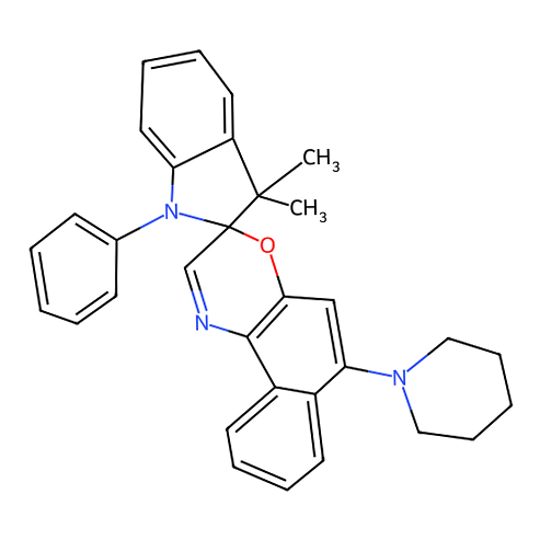 CC1(C)c2ccccc2N(c2ccccc2)C12C=Nc1c(cc(N3CCCCC3)c3ccccc13)O2